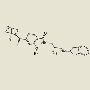 CCOc1cc(C(=O)N2CC3OC[C@@H]32)ccc1C(=O)NC[C@@H](O)CNC1Cc2ccccc2C1